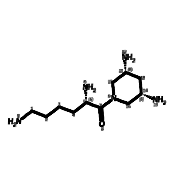 NCCCC[C@H](N)C(=O)N1C[C@H](N)C[C@H](N)C1